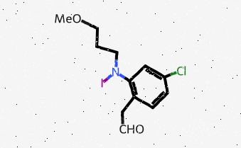 COCCCN(I)c1cc(Cl)ccc1CC=O